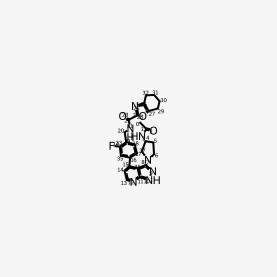 CC(=O)N[C@@H]1CCN(c2n[nH]c3nccc(-c4ccc(CNC(=O)c5nc6c(o5)CCCC6)c(F)c4)c23)C1